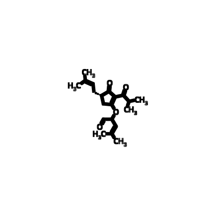 CC(C)=CC[C@H]1CC(OC(C=O)C=C(C)C)=C(C(=O)C(C)C)C1=O